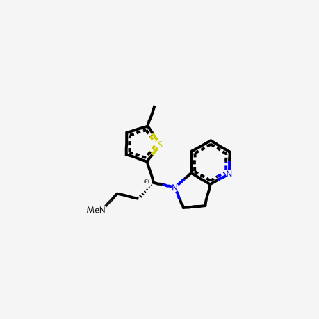 CNCC[C@H](c1ccc(C)s1)N1CCc2ncccc21